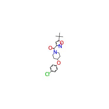 CC(C)(C)c1cc(C(=O)N2CCC(Oc3ccc(Cl)cc3)CC2)no1